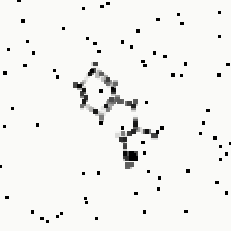 CC(Cc1ccccc1)OC#N